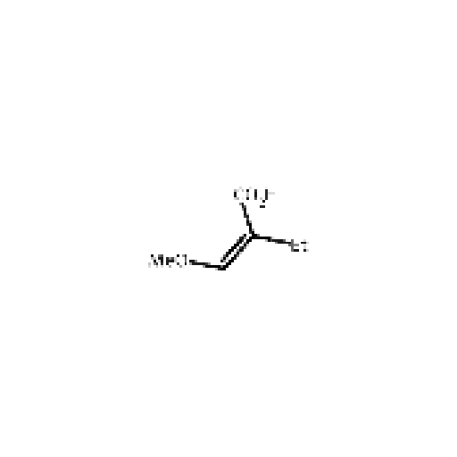 CCC(=COC)C(=O)O